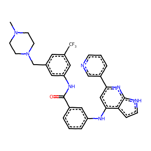 CN1CCN(Cc2cc(NC(=O)c3cccc(Nc4cc(-c5cccnc5)nc5[nH]ccc45)c3)cc(C(F)(F)F)c2)CC1